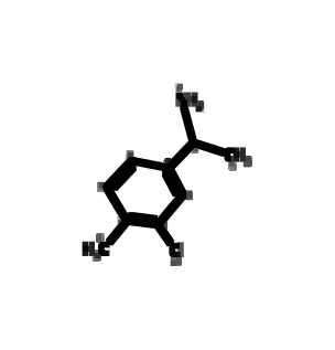 Cc1ccc(C(C)N)cc1Cl